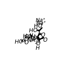 NN.NO.O=C1O[C@H](C(O)CO)C([O-])=C1O.O=S([O-])O.[Na+].[Na+]